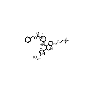 C[C@H]1CC[C@@H](Nc2c(-c3nc(C(=O)O)co3)cnc3c2ccn3COCC[Si](C)(C)C)CN1C(=O)OCc1ccccc1